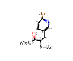 COC(=O)C(Cc1ccc(Br)nc1)NC(C)=O